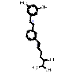 CC(C)C(O)CC/C=C/c1cccc(/C=C/c2cc(O)cc(O)c2)c1